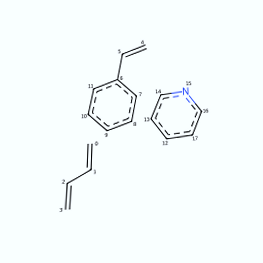 C=CC=C.C=Cc1ccccc1.c1ccncc1